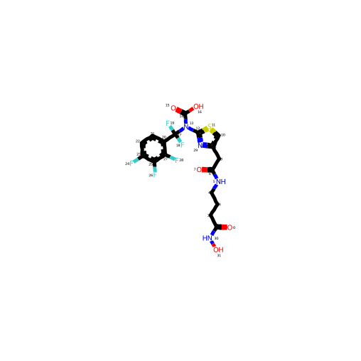 O=C(CCCNC(=O)Cc1csc(N(C(=O)O)C(F)(F)c2ccc(F)c(F)c2F)n1)NO